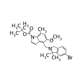 COc1cc(C)c2c(ccn2C(=O)OC(C)(C)C)c1CN1Cc2ccc(Br)cc2C1(C)C